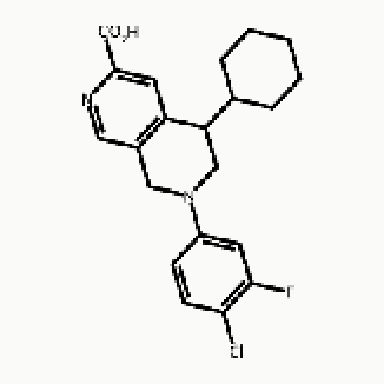 O=C(O)c1cc2c(cn1)CN(c1ccc(Cl)c(F)c1)CC2C1CCCCC1